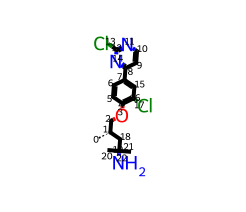 C[C@H](COc1ccc(-c2ccnc(Cl)n2)cc1Cl)CC(C)(C)N